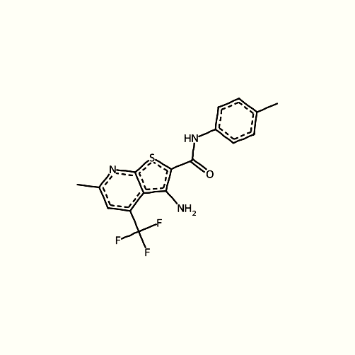 Cc1ccc(NC(=O)c2sc3nc(C)cc(C(F)(F)F)c3c2N)cc1